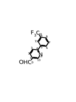 O=Cc1ccc(-c2cccc(C(F)(F)F)c2)nc1